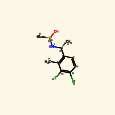 Cc1c([C@@H](C)N[S@+]([O-])C(C)(C)C)ccc(Br)c1F